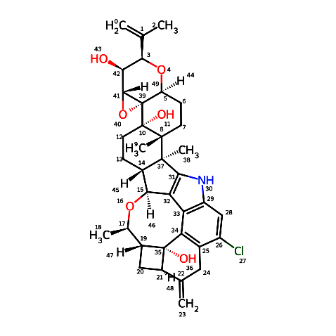 C=C(C)[C@H]1O[C@H]2CC[C@@]3(C)[C@@](O)(CC[C@H]4[C@@H]5O[C@H](C)[C@H]6C[C@@H]7C(=C)Cc8c(Cl)cc9[nH]c(c5c9c8[C@@]76O)[C@@]43C)[C@]23O[C@@H]3[C@H]1O